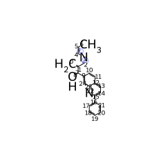 C=C(/C=N\C=C/C)C(O)c1ccc2ccc(-c3ccccc3)nc2c1